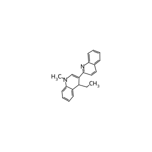 CCC1C(c2ccc3ccccc3n2)=CN(C)c2ccccc21